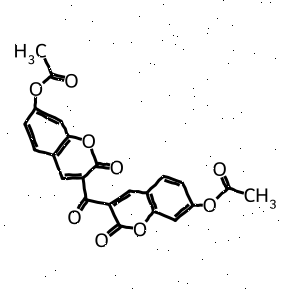 CC(=O)Oc1ccc2cc(C(=O)c3cc4ccc(OC(C)=O)cc4oc3=O)c(=O)oc2c1